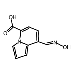 O=C(O)c1ccc(C=NO)c2cccn12